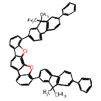 CC1(C)c2cc(-c3ccccc3)ccc2-c2ccc(-c3cccc4c3oc3c4ccc4c5cccc(-c6ccc7c(c6)C(C)(C)c6cc(-c8ccccc8)ccc6-7)c5oc43)cc21